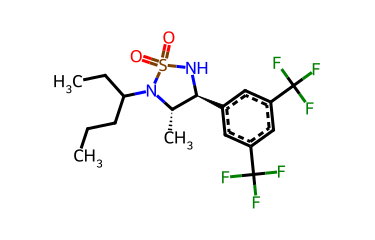 CCCC(CC)N1[C@@H](C)[C@H](c2cc(C(F)(F)F)cc(C(F)(F)F)c2)NS1(=O)=O